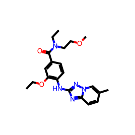 CCOc1cc(C(=O)N(CC)CCOC)ccc1Nc1nc2ccc(C)cn2n1